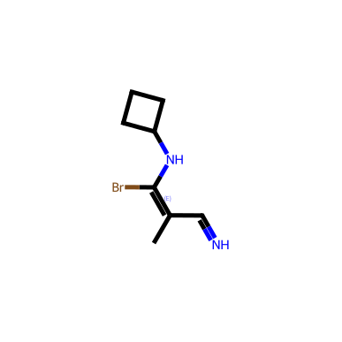 C/C(C=N)=C(\Br)NC1CCC1